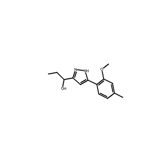 CCC(O)c1cc(-c2ccc(C)cc2OC)[nH]n1